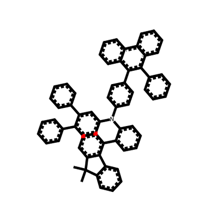 CC1(C)c2ccccc2-c2c(-c3ccccc3N(c3ccc(-c4c(-c5ccccc5)c5ccccc5c5ccccc45)cc3)c3ccc(-c4ccccc4)c(-c4ccccc4)c3)cccc21